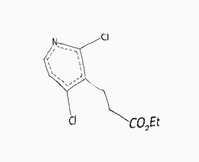 CCOC(=O)CCc1c(Cl)ccnc1Cl